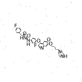 COc1cc2c(Oc3ccc(NC(=O)NC(=O)Cc4ccc(F)cc4)cc3F)ccnc2cc1OCCCCN1CCNCC1